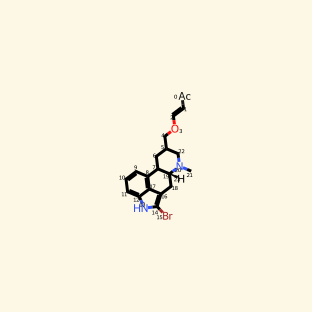 CC(=O)C=COCC1CC2c3cccc4[nH]c(Br)c(c34)C[C@H]2N(C)C1